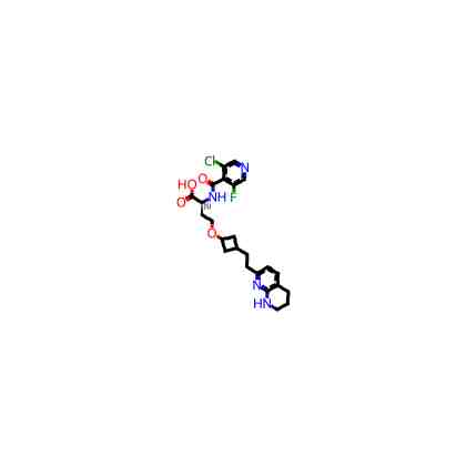 O=C(N[C@@H](CCOC1CC(CCc2ccc3c(n2)NCCC3)C1)C(=O)O)c1c(F)cncc1Cl